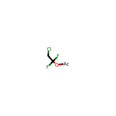 CC(=O)OC(F)(F)CCl